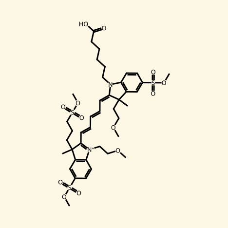 COCC[N+]1=C(/C=C/C=C/C=C2/N(CCCCCC(=O)O)c3ccc(S(=O)(=O)OC)cc3C2(C)CCOC)C(C)(CCCS(=O)(=O)OC)c2cc(S(=O)(=O)OC)ccc21